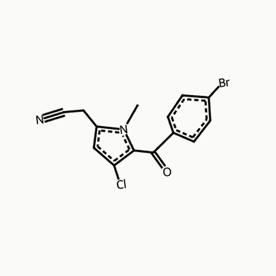 Cn1c(CC#N)cc(Cl)c1C(=O)c1ccc(Br)cc1